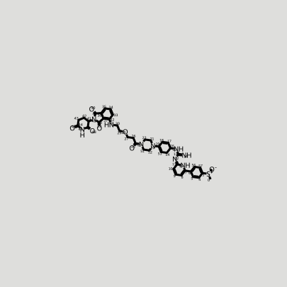 C[S+]([O-])c1ccc(-c2ccc/c(=N/C(=N)NC3C=CC(N4CCN(C(=O)CCOCCNc5cccc6c5C(=O)N(C5CCC(=O)NC5=O)C6=O)CC4)=CC3)[nH]2)cc1